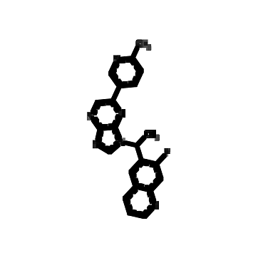 Cc1ccc(-c2cnc3ncn(C(C)c4cc5cccnc5cc4F)c3n2)cn1